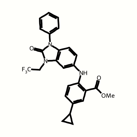 COC(=O)c1cc(C2CC2)ccc1Nc1ccc2c(c1)n(CC(F)(F)F)c(=O)n2-c1ccccc1